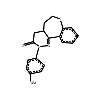 CCCCc1ccc(N2N=C3c4ccccc4SCCC3CC2=O)cc1